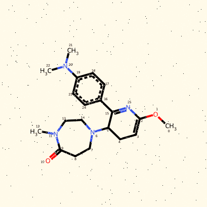 COC1=CCC(N2CCC(=O)N(C)CC2)C(c2ccc(N(C)C)cc2)=N1